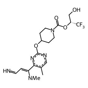 CN/C(=C\C=N)c1nc(OC2CCN(C(=O)O[C@H](CO)C(F)(F)F)CC2)ncc1C